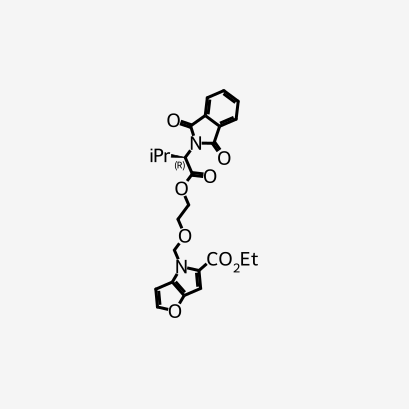 CCOC(=O)c1cc2occc2n1COCCOC(=O)[C@@H](C(C)C)N1C(=O)c2ccccc2C1=O